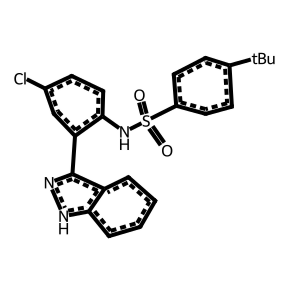 CC(C)(C)c1ccc(S(=O)(=O)Nc2ccc(Cl)cc2-c2n[nH]c3ccccc23)cc1